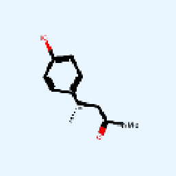 CNC(=O)C[C@H](C)c1ccc(O)cc1